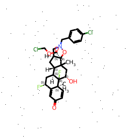 CC12C[C@H](O)[C@@]3(F)[C@@H](C[C@H](F)C4=CC(=O)C=C[C@@]43C)[C@@H]1C[C@H]1CN(Cc3ccc(Cl)cc3)O[C@]12C(=O)OCCl